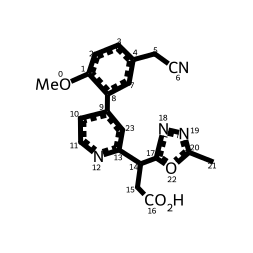 COc1ccc(CC#N)cc1-c1ccnc(C(CC(=O)O)c2nnc(C)o2)c1